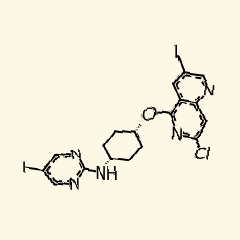 Clc1cc2ncc(I)cc2c(O[C@H]2CC[C@@H](Nc3ncc(I)cn3)CC2)n1